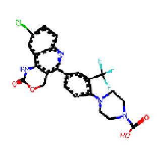 O=C1Nc2c(c(-c3ccc(N4CCN(C(=O)O)CC4)c(C(F)(F)F)c3)nc3ccc(Cl)cc23)CO1